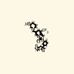 Cn1cnnc1CC1(c2cccc(-n3cc4c(C(F)(F)F)cc(CN5CCCC(O)C5)cn4c3=O)c2)COC1